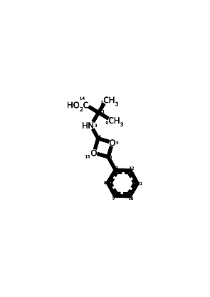 CC(C)(NC1OC(c2ccccc2)O1)C(=O)O